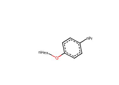 [CH2]CCc1ccc(OCCCCCC)cc1